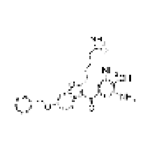 NC(=O)CCCCc1oc2cc(OCc3ccccc3)ccc2c1C(=O)c1cc(N)c(O)c(N)c1